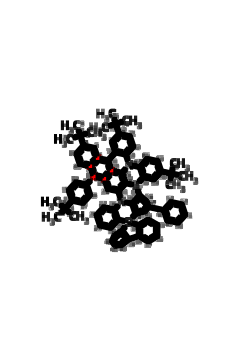 CC(C)(C)c1ccc(N(c2ccc(C(C)(C)C)cc2)c2cc3c4c(c2)N2c5ccccc5[Si]5(c6ccccc6-c6ccccc65)c5cc(-c6ccccc6)cc(c52)B4c2cc(C(C)(C)C)ccc2N3c2ccc(C(C)(C)C)cc2-c2ccccc2)cc1